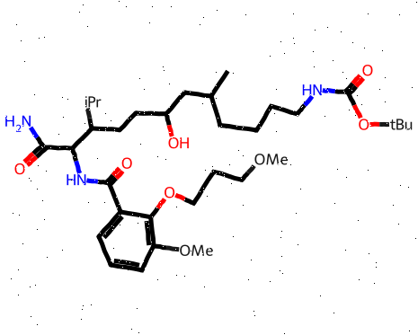 COCCCOc1c(OC)cccc1C(=O)NC(C(N)=O)C(CCC(O)CC(C)CCCCNC(=O)OC(C)(C)C)C(C)C